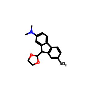 CN(C)c1ccc2c(c1)C(C1OCCO1)c1cc([N+](=O)[O-])ccc1-2